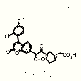 O=CC(C(=O)N1CCC[C@H](CC(=O)O)C1)c1ccc2c(-c3ccc(F)cc3Cl)cc(=O)oc2c1